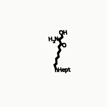 CCCCCCCCCCCCCCC(=O)C(N)CO